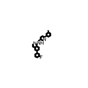 Cc1cccc(-c2ccc(CNc3nccc4cc(-c5cccc(F)c5)ccc34)cn2)c1